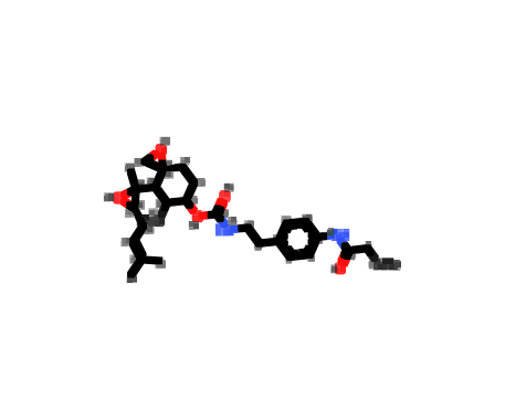 CNCC(=O)Nc1ccc(CCNC(=O)OC2CC[C@]3(CO3)C(C3(C)O[C@@H]3CC=C(C)C)C2OC)cc1